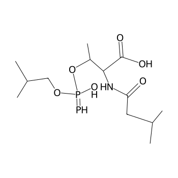 CC(C)COP(O)(=P)OC(C)C(NC(=O)CC(C)C)C(=O)O